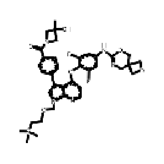 CC1(O)CN(C(=O)c2ccc(-c3cn(COCC[Si](C)(C)C)c4nccc(Oc5c(F)cc(NC6=NCC7(COC7)CO6)cc5F)c34)cc2)C1